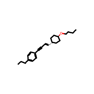 CCCCO[C@H]1CC[C@H](/C=C/C#Cc2ccc(CCC)cc2)CC1